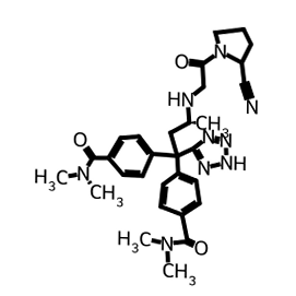 C[C@H](CC(c1ccc(C(=O)N(C)C)cc1)(c1ccc(C(=O)N(C)C)cc1)c1nn[nH]n1)NCC(=O)N1CCCC1C#N